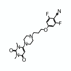 Cn1c(N2CCN(CCCOc3cc(F)c(C#N)c(F)c3)CC2)cc(=O)n(C)c1=O